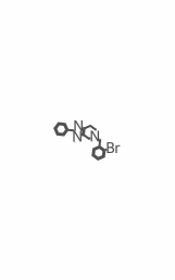 Cn1c(-c2ccccc2)nc2c1CN(Cc1ccccc1Br)CC2